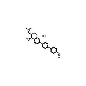 COC1c2ccc(-c3ccc(-c4ccc(C=O)cc4)cc3)cc2CCC1CN(C)C.Cl